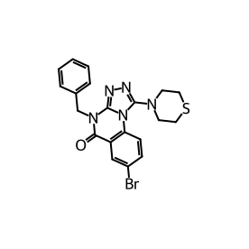 O=c1c2cc(Br)ccc2n2c(N3CCSCC3)nnc2n1Cc1ccccc1